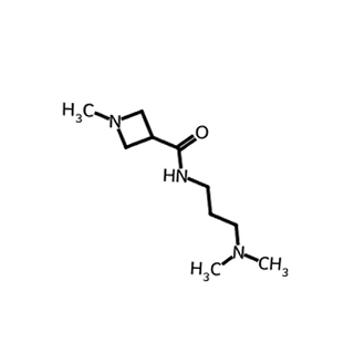 CN(C)CCCNC(=O)C1CN(C)C1